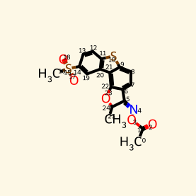 CC(=O)ON=C1c2ccc3sc4ccc(S(C)(=O)=O)cc4c3c2OC1C